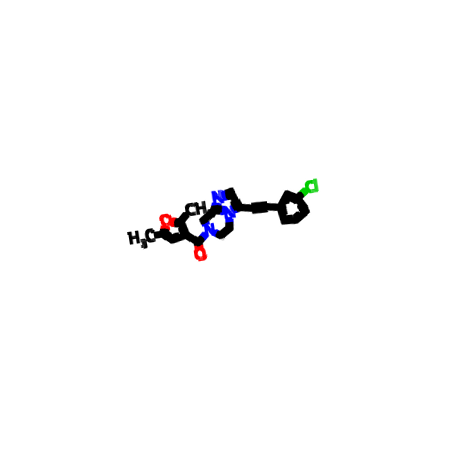 Cc1cc(C(=O)N2CCn3c(C#Cc4cccc(Cl)c4)cnc3C2)c(C)o1